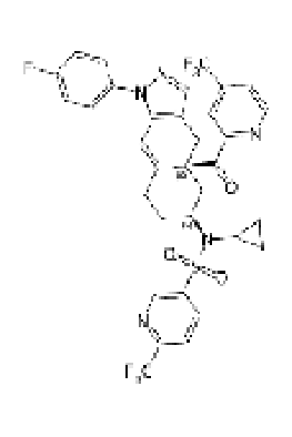 O=C(c1cc(C(F)(F)F)ccn1)[C@]12Cc3cnn(-c4ccc(F)cc4)c3C=C1CC[C@H](N(C1CC1)S(=O)(=O)c1ccc(C(F)(F)F)nc1)C2